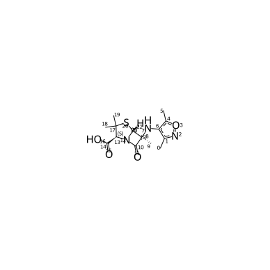 Cc1noc(C)c1N[C@@]1(C)C(=O)N2[C@@H](C(=O)O)C(C)(C)S[C@@H]21